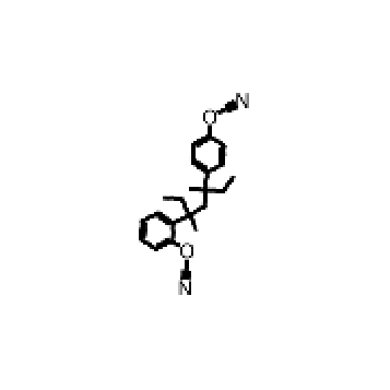 CCC(C)(CC(C)(CC)c1ccccc1OC#N)c1ccc(OC#N)cc1